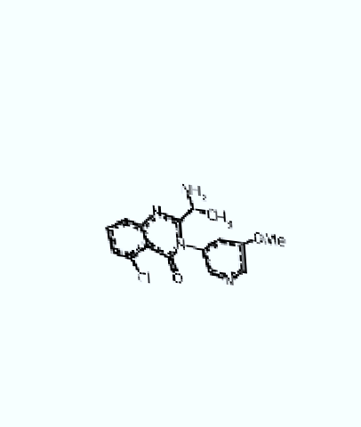 COc1cncc(-n2c([C@H](C)N)nc3cccc(Cl)c3c2=O)c1